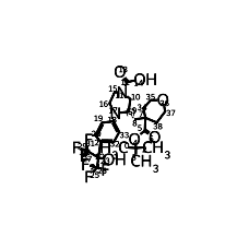 CC(C)(C)OC(=O)C1(C[C@H]2CN(C(=O)O)CCN2c2ccc(C(O)(C(F)(F)F)C(F)(F)F)cc2)CCOCC1